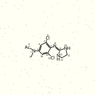 CC(=O)N(C)c1cc(Cl)c(N=C2NCCN2)c(Cl)c1